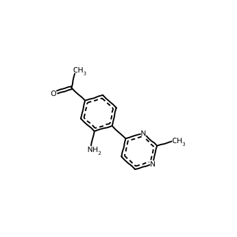 CC(=O)c1ccc(-c2ccnc(C)n2)c(N)c1